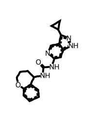 O=C(Nc1cc2[nH]nc(C3CC3)c2cn1)NC1CCCOc2ccccc21